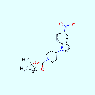 CC(C)(C)OC(=O)N1CCC(n2ccc3cc([N+](=O)[O-])ccc32)CC1